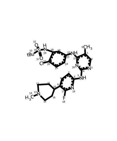 Cc1cnc(Nc2ccc(C3CCN(C)CC3)c(F)n2)nc1Nc1ccc(Cl)c(NS(=O)(=O)C(C)(C)C)c1